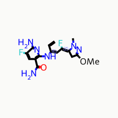 C=C/C(=C\C(F)=C1/CC(OC)=NN1C)Nc1nc(N)c(F)cc1C(N)=O